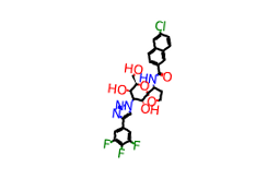 O=C(N[C@@H]1CCO[C@]12O[C@H](CO)[C@H](O)[C@H](n1cc(-c3cc(F)c(F)c(F)c3)nn1)[C@H]2O)c1ccc2cc(Cl)ccc2c1